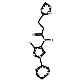 CCN(C(=O)CCc1ncn[nH]1)c1cn(-c2cccnc2)nc1Cl